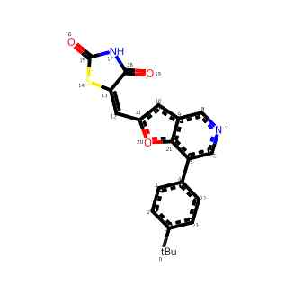 CC(C)(C)c1ccc(-c2cncc3cc(C=C4SC(=O)NC4=O)oc23)cc1